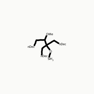 CCCCCCCCCCCC(OC)C(CCCCCCCCCCC)(CCCCCCCCCCC)O[SiH3]